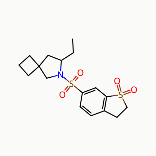 CCC1CC2(CCC2)CN1S(=O)(=O)c1ccc2c(c1)S(=O)(=O)CC2